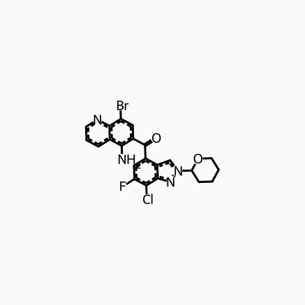 Nc1c(C(=O)c2cc(F)c(Cl)c3nn(C4CCCCO4)cc23)cc(Br)c2ncccc12